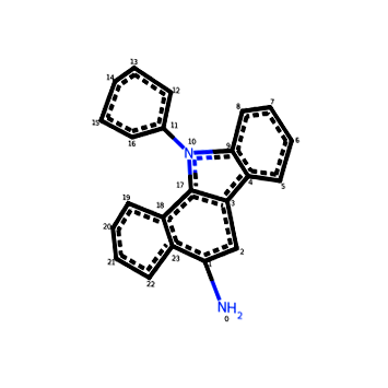 Nc1cc2c3ccccc3n(-c3ccccc3)c2c2ccccc12